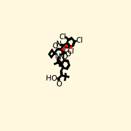 C=CCN(C(=O)OC(C)(C)C)C1(c2onc(-c3c(Cl)cc(Cl)cc3Cl)c2C(=O)n2cc(C)c3c(/C=C(/C(=O)O)C(C)(C)C)cccc32)CCC1